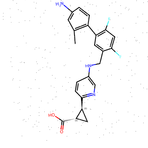 Cc1cc(N)ccc1-c1cc(CNc2ccc([C@H]3C[C@@H]3C(=O)O)nc2)c(F)cc1F